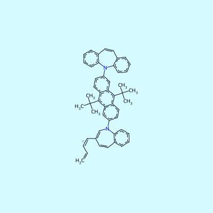 C=C/C=C\C1=CN(c2ccc3c(C(C)(C)C)c4cc(N5c6ccccc6C=Cc6ccccc65)ccc4c(C(C)(C)C)c3c2)c2ccccc2C=C1